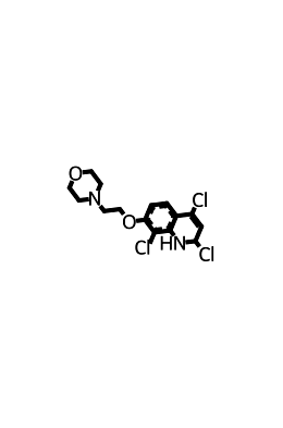 ClC1=CC(Cl)Nc2c1ccc(OCCN1CCOCC1)c2Cl